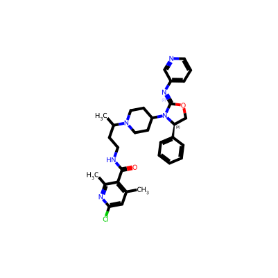 Cc1cc(Cl)nc(C)c1C(=O)NCCC(C)N1CCC(N2/C(=N/c3cccnc3)OC[C@H]2c2ccccc2)CC1